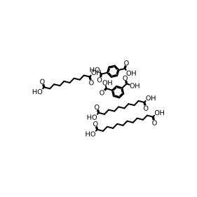 O=C(O)CCCCCCCCC(=O)O.O=C(O)CCCCCCCCC(=O)O.O=C(O)CCCCCCCCCCC(=O)O.O=C(O)c1ccc(C(=O)O)cc1.O=C(O)c1cccc(C(=O)O)c1